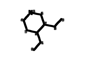 CCC1CC[N]CC1CC